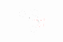 OB(O)OC(C=C(c1ccccc1)c1ccccc1)c1ccccc1